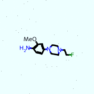 COc1cc(N2CCN(CCF)CC2)ccc1N